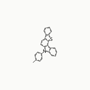 Cc1ccc(-n2c3ccccc3c3c4sc5ccccc5c4ccc32)cc1